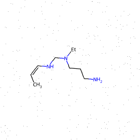 C/C=C\NCN(CC)CCCN